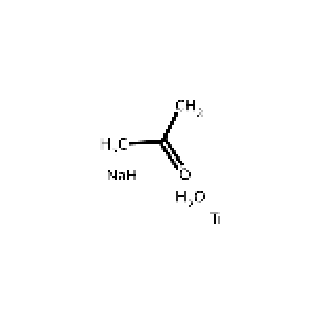 CC(C)=O.O.[NaH].[Ti]